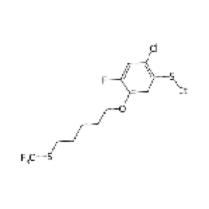 CCSc1cc(OCCCCCSC(F)(F)F)c(F)cc1Cl